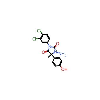 CC1(c2ccc(O)cc2)C(=O)N(c2ccc(Cl)c(Cl)c2)C(=O)N1N